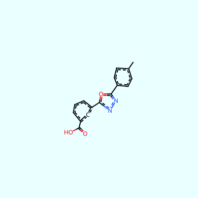 Cc1ccc(-c2nnc(-c3cccc(C(=O)O)c3)o2)cc1